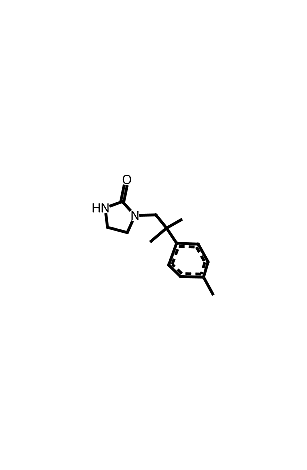 Cc1ccc(C(C)(C)CN2CCNC2=O)cc1